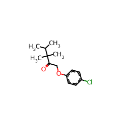 CC(C)C(C)(C)C(=O)COc1ccc(Cl)cc1